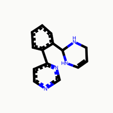 C1=CNC(c2ccccc2-c2ccncn2)NC1